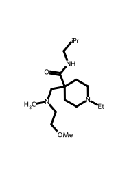 CCN1CCC(CN(C)CCOC)(C(=O)NCC(C)C)CC1